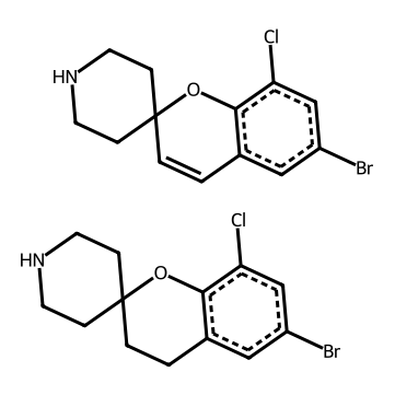 Clc1cc(Br)cc2c1OC1(C=C2)CCNCC1.Clc1cc(Br)cc2c1OC1(CCNCC1)CC2